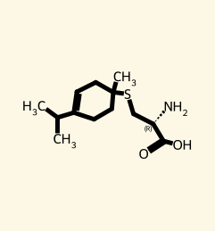 CC(C)C1=CCC(C)(SC[C@H](N)C(=O)O)CC1